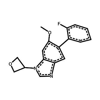 COc1cc2c(cc1-c1ccccc1F)ncn2C1COC1